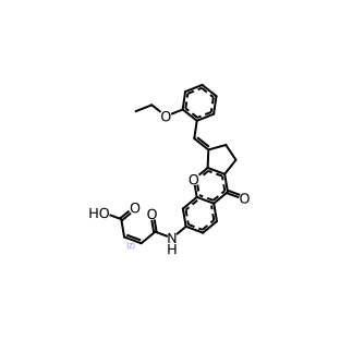 CCOc1ccccc1C=C1CCc2c1oc1cc(NC(=O)/C=C\C(=O)O)ccc1c2=O